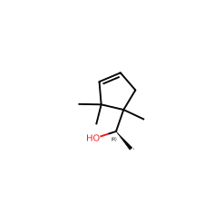 [CH2][C@@H](O)C1(C)CC=CC1(C)C